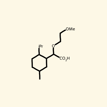 COCCOC(C(=O)O)C1CC(C)CCC1C(C)C